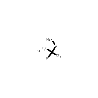 CCCCCCOC(F)(C(F)(F)F)C(F)(F)F.[O]